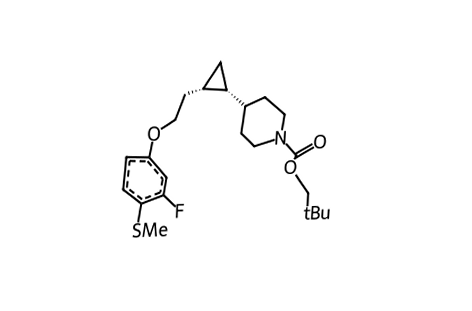 CSc1ccc(OCC[C@@H]2C[C@@H]2C2CCN(C(=O)OCC(C)(C)C)CC2)cc1F